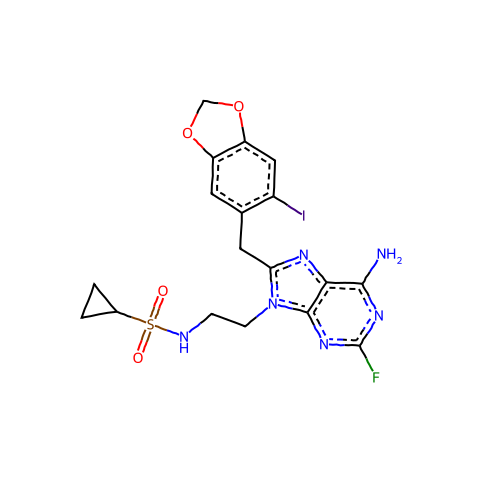 Nc1nc(F)nc2c1nc(Cc1cc3c(cc1I)OCO3)n2CCNS(=O)(=O)C1CC1